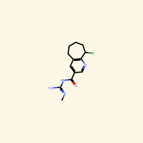 CN=C(N)NC(=O)c1cnc2c(c1)CCCCC2Cl